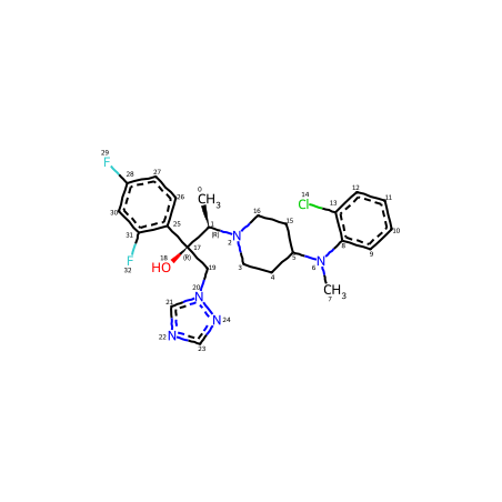 C[C@@H](N1CCC(N(C)c2ccccc2Cl)CC1)[C@](O)(Cn1cncn1)c1ccc(F)cc1F